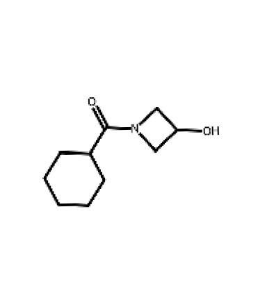 O=C(C1CCCCC1)N1CC(O)C1